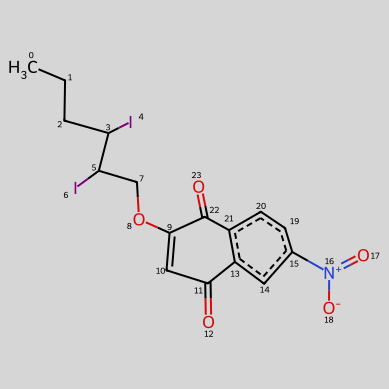 CCCC(I)C(I)COC1=CC(=O)c2cc([N+](=O)[O-])ccc2C1=O